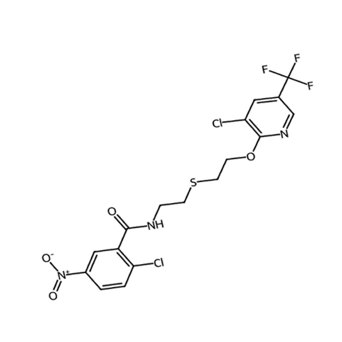 O=C(NCCSCCOc1ncc(C(F)(F)F)cc1Cl)c1cc([N+](=O)[O-])ccc1Cl